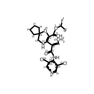 C=C(OC(F)F)C1=C(/C(=C\C)C(=O)Nc2c(Cl)cncc2Cl)NCC2(CCCC2)O1